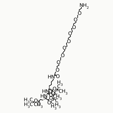 CC(C)(C)OC(=O)CC[C@H](NC(=O)N[C@@H](CCCCNC(=O)COCCOCCOCCOCCOCCOCCOCCOCCOCCN)C(=O)OC(C)(C)C)C(=O)OC(C)(C)C